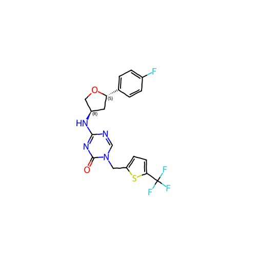 O=c1nc(N[C@H]2CO[C@H](c3ccc(F)cc3)C2)ncn1Cc1ccc(C(F)(F)F)s1